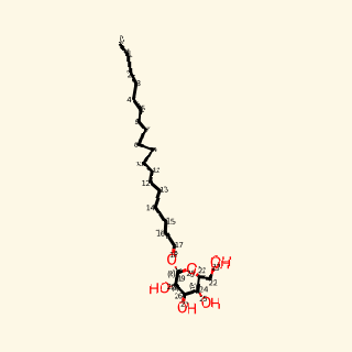 CCCCCCCCCCCCCCCCCCO[C@@H]1OC(CO)[C@@H](O)C(O)[C@@H]1O